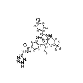 CCCC(c1ccc(C(=O)NCc2nn[nH]n2)cc1)N1C(=O)C(c2ccc(Cl)cc2)NC12CCC(C(C)(C)C)CC2